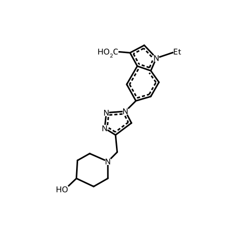 CCn1cc(C(=O)O)c2cc(-n3cc(CN4CCC(O)CC4)nn3)ccc21